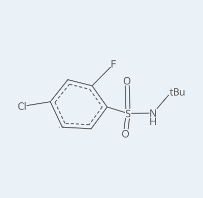 CC(C)(C)NS(=O)(=O)c1c[c]c(Cl)cc1F